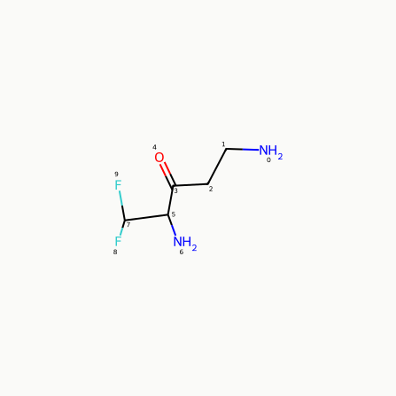 NCCC(=O)C(N)C(F)F